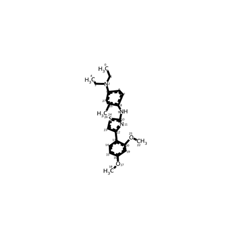 CCN(CC)c1ccc(Nc2nc(-c3ccc(OC)cc3OC)cs2)c(C)c1